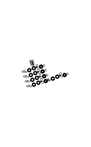 CCCC[C@H]1CC[C@H](C2CCC(C(=O)Oc3ccc([S])cc3)CC2)CC1.CCCC[C@H]1CC[C@H](C2CCC(C(=O)Oc3ccc([S])cc3)CC2)CC1.CCCC[C@H]1CC[C@H](C2CCC(C(=O)Oc3ccc([S])cc3)CC2)CC1.CCCC[C@H]1CC[C@H](C2CCC(C(=O)Oc3ccc([S])cc3)CC2)CC1.CCCC[C@H]1CC[C@H](C2CCC(C(=O)Oc3ccc([S])cc3)CC2)CC1.F.F.F.F.F